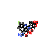 CC[C@@]1(O)C(=O)OCc2c1cc1n(c2=O)Cc2c-1nc1cc(F)c(C)c3c1c2[C@H](C(CO)C(N)=O)CC3